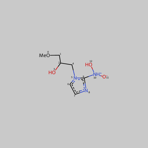 COCC(O)Cn1ccnc1[NH+]([O-])O